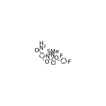 CSc1nc(OCc2ccc(F)cc2F)c(Cl)c(=O)n1-c1cc(C(N)=O)ccc1C